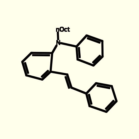 CCCCCCCCN(c1ccccc1)c1ccccc1C=Cc1ccccc1